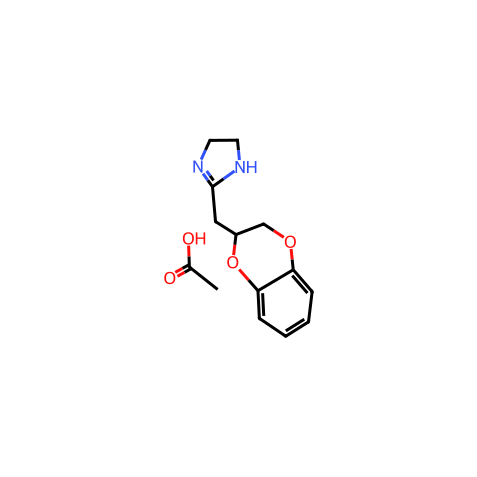 CC(=O)O.c1ccc2c(c1)OCC(CC1=NCCN1)O2